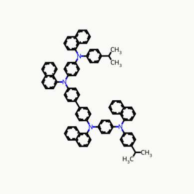 CC(C)c1ccc(N(c2ccc(N(c3ccc(-c4ccc(N(c5ccc(N(c6ccc(C(C)C)cc6)c6cccc7ccccc67)cc5)c5cccc6ccccc56)cc4)cc3)c3cccc4ccccc34)cc2)c2cccc3ccccc23)cc1